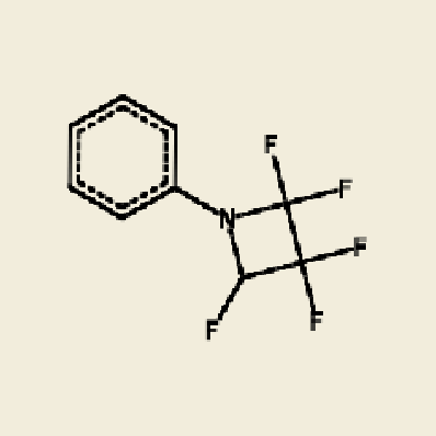 FC1N(c2ccccc2)C(F)(F)C1(F)F